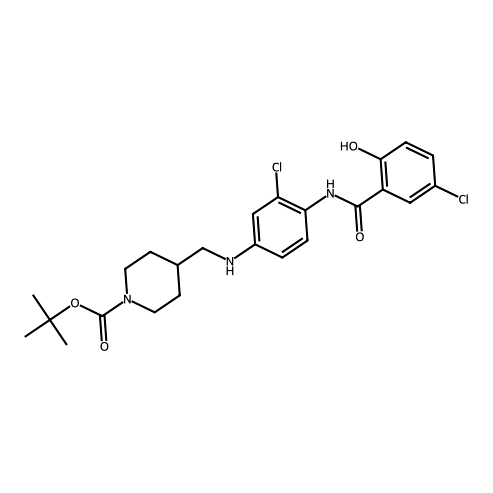 CC(C)(C)OC(=O)N1CCC(CNc2ccc(NC(=O)c3cc(Cl)ccc3O)c(Cl)c2)CC1